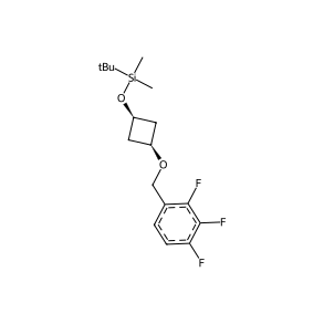 CC(C)(C)[Si](C)(C)O[C@H]1C[C@@H](OCc2ccc(F)c(F)c2F)C1